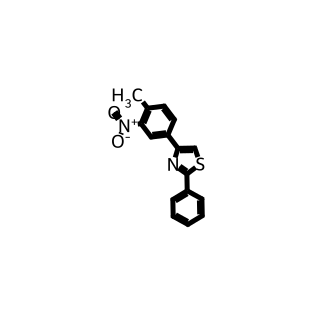 Cc1ccc(-c2csc(-c3ccccc3)n2)cc1[N+](=O)[O-]